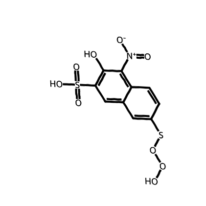 O=[N+]([O-])c1c(O)c(S(=O)(=O)O)cc2cc(SOOO)ccc12